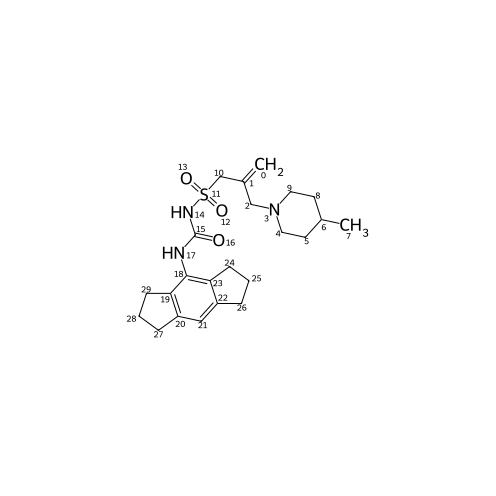 C=C(CN1CCC(C)CC1)CS(=O)(=O)NC(=O)Nc1c2c(cc3c1CCC3)CCC2